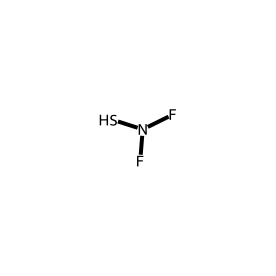 FN(F)S